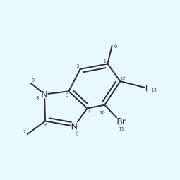 Cc1cc2c(nc(C)n2C)c(Br)c1I